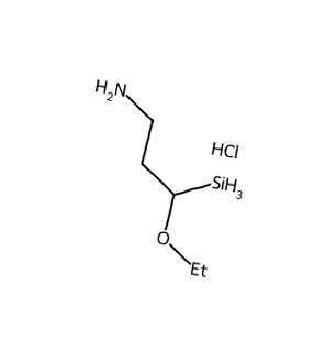 CCOC([SiH3])CCN.Cl